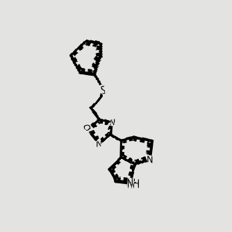 c1ccc(SCc2nc(-c3ccnc4[nH]ccc34)no2)cc1